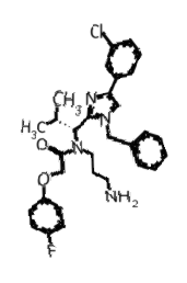 CC(C)[C@H](c1nc(-c2cccc(Cl)c2)cn1Cc1ccccc1)N(CCCN)C(=O)COc1ccc(F)cc1